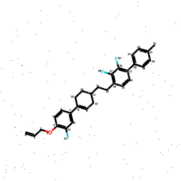 C=CCOc1ccc(C2=CCC(CCc3ccc(-c4ccc(C)cc4)c(F)c3F)CC2)cc1F